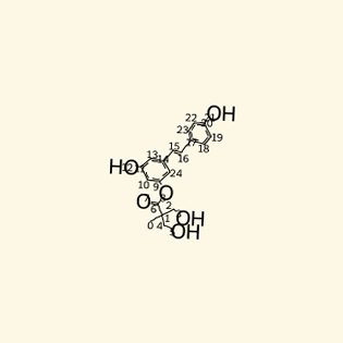 CC(CO)(CO)C(=O)Oc1cc(O)cc(/C=C/c2ccc(O)cc2)c1